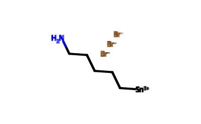 NCCCC[CH2][Sn+3].[Br-].[Br-].[Br-]